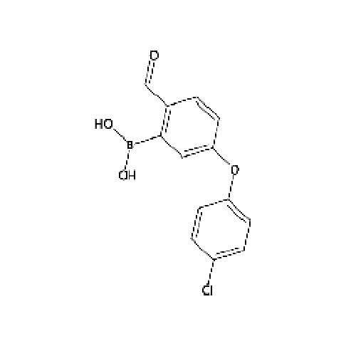 O=Cc1ccc(Oc2ccc(Cl)cc2)cc1B(O)O